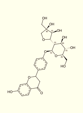 O=C1CC(c2ccc(O[C@@H]3O[C@H](CO)[C@@H](O)[C@H](O)[C@H]3C3OC[C@](O)(CO)[C@H]3O)cc2)Oc2cc(O)ccc21